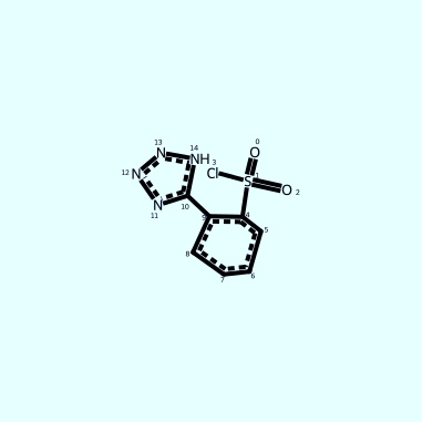 O=S(=O)(Cl)c1ccccc1-c1nnn[nH]1